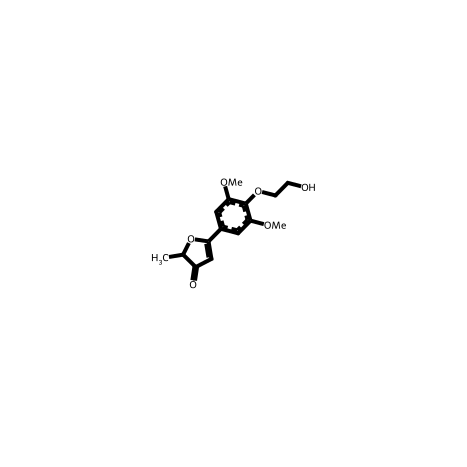 COc1cc(C2=CC(=O)C(C)O2)cc(OC)c1OCCO